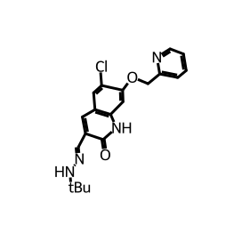 CC(C)(C)N/N=C/c1cc2cc(Cl)c(OCc3ccccn3)cc2[nH]c1=O